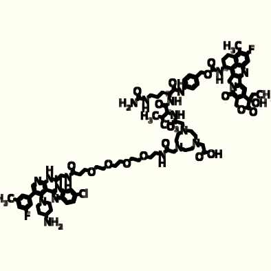 CC[C@@]1(O)C(=O)OCc2c1cc1n(c2=O)Cc2c-1nc1cc(F)c(C)c3c1c2[C@@H](NC(=O)OCc1ccc(NC(=O)[C@H](CCCNC(N)=O)NC(=O)[C@@H](NC(=O)CN2CCN(CC(=O)O)CCN(CC(=O)NCCOCCOCCOCCOCCC(=O)NCCNc4ncc(-c5cc(C)cc(F)c5)c(N5CCC(N)CC5)c4-c4nc5ccc(Cl)cc5[nH]4)CC2)C(C)C)cc1)CC3